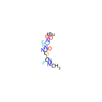 Cc1cn2cc(-c3cc4ncn(C5CCN(C(=O)OC(C)(C)C)CC5(F)F)c(=O)c4s3)cc(F)c2n1